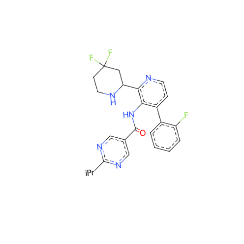 CC(C)c1ncc(C(=O)Nc2c(-c3ccccc3F)ccnc2C2CC(F)(F)CCN2)cn1